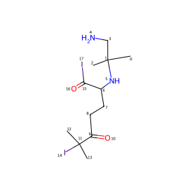 CC(C)(CN)NC(CCC(=O)C(C)(C)I)C(=O)I